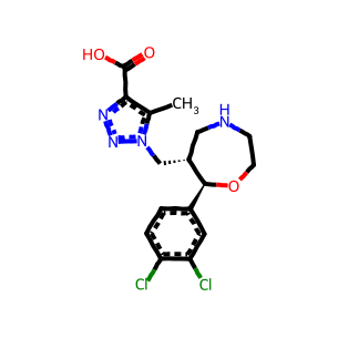 Cc1c(C(=O)O)nnn1C[C@@H]1CNCCO[C@H]1c1ccc(Cl)c(Cl)c1